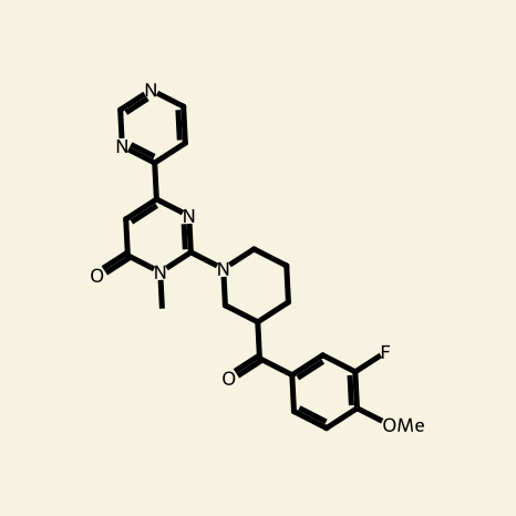 COc1ccc(C(=O)C2CCCN(c3nc(-c4ccncn4)cc(=O)n3C)C2)cc1F